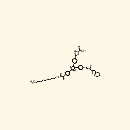 CCCCCCCCCCCCNC(=O)c1ccc(-c2nc(-c3ccc(C4=NOC(C(=O)O)C4)cc3)c(-c3ccc(/C=C/C(=O)NCC4CCCO4)cc3)[nH]2)cc1